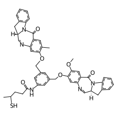 COc1cc2c(cc1OCc1cc(COc3cc4c(cc3C)C(=O)N3c5ccccc5C[C@H]3C=N4)cc(NC(=O)CCC(C)S)c1)N=C[C@@H]1Cc3ccccc3N1C2=O